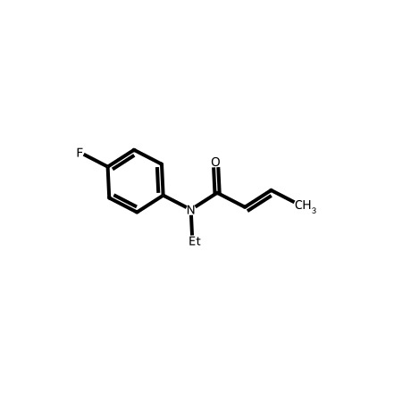 C/C=C/C(=O)N(CC)c1ccc(F)cc1